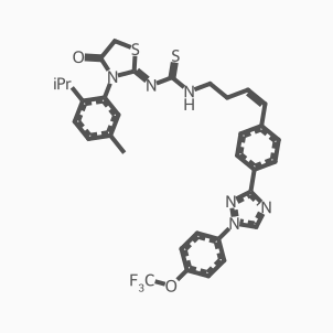 Cc1ccc(C(C)C)c(N2C(=O)CS/C2=N\C(=S)NCC/C=C\c2ccc(-c3ncn(-c4ccc(OC(F)(F)F)cc4)n3)cc2)c1